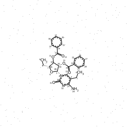 CCc1cn([C@@H]2O[C@H](CC)C(OC(=O)c3ccccc3)[C@@H]2OC(=O)c2ccccc2)c(=O)nc1N